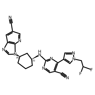 N#Cc1cnc2c(c1)ncn2[C@@H]1CCC[C@H](Nc2ncc(C#N)c(-c3cnn(CC(F)F)c3)n2)C1